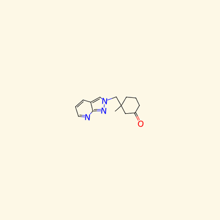 CC1(Cn2cc3cccnc3n2)CCCC(=O)C1